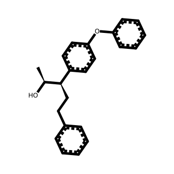 C[C@H](O)[C@H](CCc1ccccc1)c1ccc(Oc2ccccc2)cc1